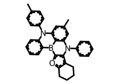 Cc1ccc(N2c3ccccc3B3c4oc5c(c4N(c4ccccc4)c4cc(C)cc2c43)CCCC5)cc1